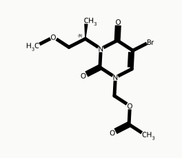 COC[C@@H](C)n1c(=O)c(Br)cn(COC(C)=O)c1=O